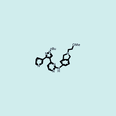 CCCCn1cc(-c2ccnc(Nc3ccc4c(c3)CN(CCOC)C4)n2)c(-c2cccnc2)n1